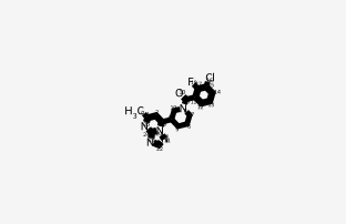 Cc1cc(C2CCCN(C(=O)c3cccc(Cl)c3F)C2)n2ncnc2n1